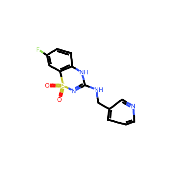 O=S1(=O)N=C(NCc2cccnc2)Nc2ccc(F)cc21